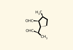 C[C@@H](C=O)[C@H]1CC[C@H](C)[C@@H]1C=O